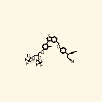 CC#CC(CC#N)c1ccc(OCc2ccc3scc(-c4ccc(OCC(COC(=O)C(F)(F)F)OC(=O)C(F)(F)F)cc4C)c3c2)cc1